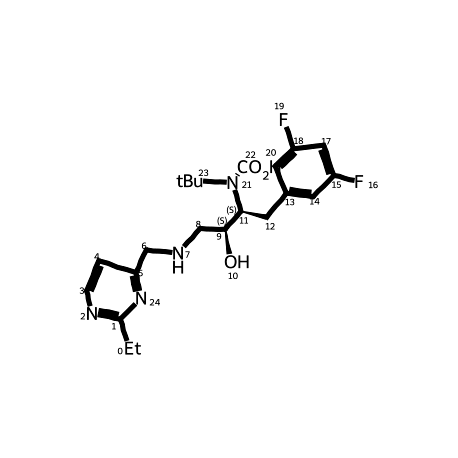 CCc1nccc(CNC[C@H](O)[C@H](Cc2cc(F)cc(F)c2)N(C(=O)O)C(C)(C)C)n1